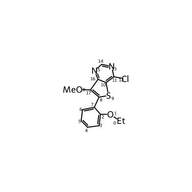 CCOc1ccccc1-c1sc2c(Cl)ncnc2c1OC